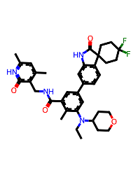 CCN(c1cc(-c2ccc3c(c2)NC(=O)C32CCC(F)(F)CC2)cc(C(=O)NCc2c(C)cc(C)[nH]c2=O)c1C)C1CCOCC1